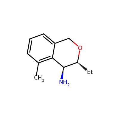 CC[C@@H]1OCc2cccc(C)c2[C@@H]1N